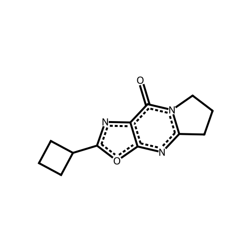 O=c1c2nc(C3CCC3)oc2nc2n1CCC2